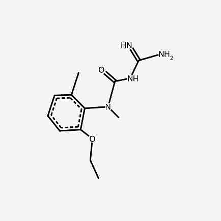 CCOc1cccc(C)c1N(C)C(=O)NC(=N)N